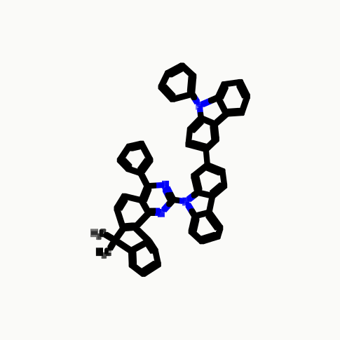 CC1(C)c2ccccc2-c2c1ccc1c(-c3ccccc3)nc(-n3c4ccccc4c4ccc(-c5ccc6c(c5)c5ccccc5n6-c5ccccc5)cc43)nc21